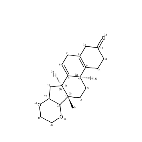 C[C@]12CC[C@H]3C(=CCC4=C3CCC(=O)C4)[C@@H]1CC1OCCOC12